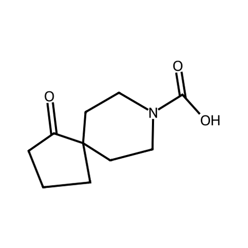 O=C(O)N1CCC2(CCCC2=O)CC1